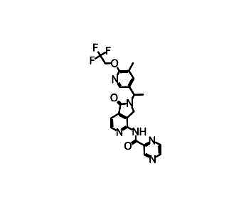 Cc1cc(C(C)N2Cc3c(ccnc3NC(=O)c3cnccn3)C2=O)cnc1OCC(F)(F)F